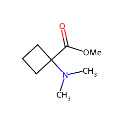 COC(=O)C1(N(C)C)CCC1